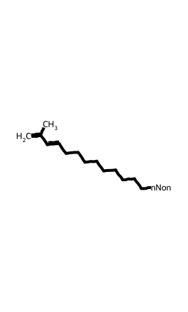 C=C(C)C=CCCCCCCCCCCCCCCCCCC